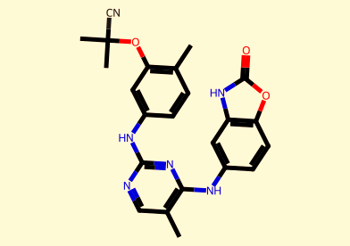 Cc1ccc(Nc2ncc(C)c(Nc3ccc4oc(=O)[nH]c4c3)n2)cc1OC(C)(C)C#N